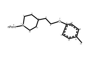 CCCCCN1CCC(CCOc2ccc(C)cc2)CC1